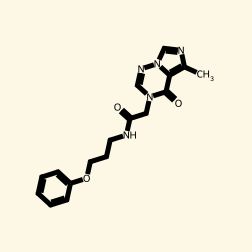 Cc1ncn2ncn(CC(=O)NCCCOc3ccccc3)c(=O)c12